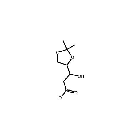 CC1(C)OCC(C(O)C[N+](=O)[O-])O1